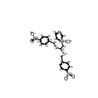 Cl.O=[N+]([O-])c1ccc(CSC(Cn2ccnc2)SCc2ccc([N+](=O)[O-])cc2)cc1